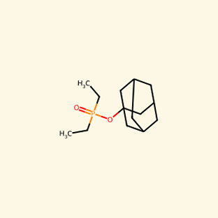 CCP(=O)(CC)OC12CC3CC(CC(C3)C1)C2